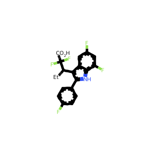 CCC(c1c(-c2ccc(F)cc2)[nH]c2c(F)cc(F)cc12)C(F)(F)C(=O)O